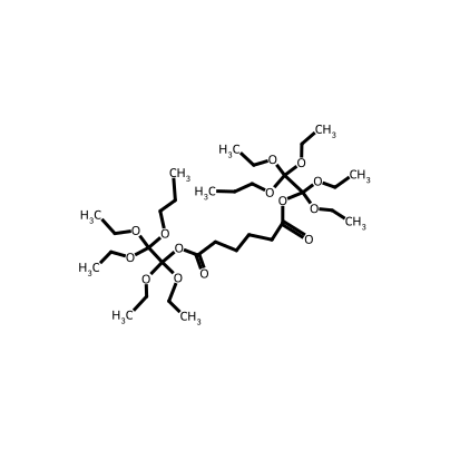 CCCOC(OCC)(OCC)C(OCC)(OCC)OC(=O)CCCCC(=O)OC(OCC)(OCC)C(OCC)(OCC)OCCC